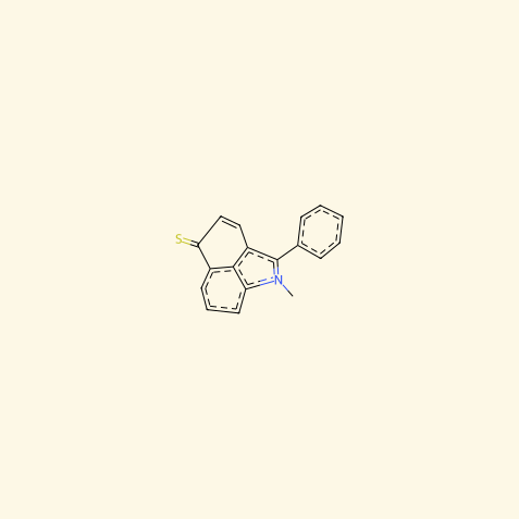 Cn1c(-c2ccccc2)c2c3c(cccc31)C(=S)C=C2